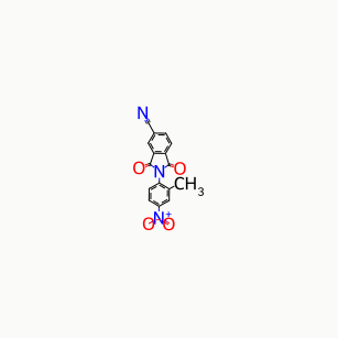 Cc1cc([N+](=O)[O-])ccc1N1C(=O)c2ccc(C#N)cc2C1=O